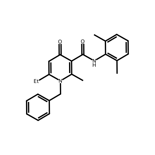 CCc1cc(=O)c(C(=O)Nc2c(C)cccc2C)c(C)n1Cc1ccccc1